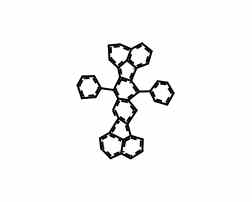 c1ccc(-c2c3cc4c(cc3c(-c3ccccc3)c3c5cccc6cccc(c23)c65)c2cccc3cccc4c32)cc1